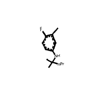 CCCC(C)(C)Nc1ccc(F)c(C)c1